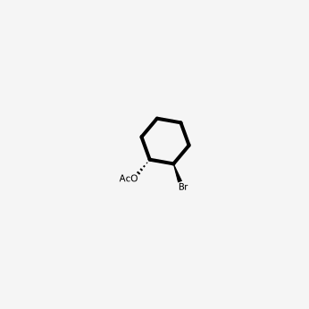 CC(=O)O[C@@H]1CCCC[C@H]1Br